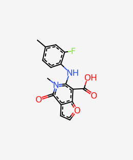 Cc1ccc(Nc2c(C(=O)O)c3occc3c(=O)n2C)c(F)c1